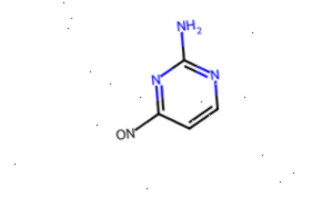 Nc1nccc(N=O)n1